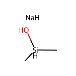 C[SiH](C)O.[NaH]